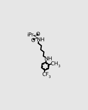 Cc1cc(C(F)(F)F)ccc1NCCCCCNS(=O)(=O)C(C)C